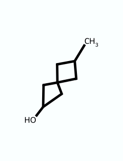 CC1CC2(C1)CC(O)C2